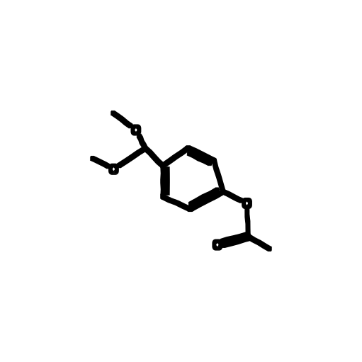 COC(OC)c1ccc(OC(C)=O)cc1